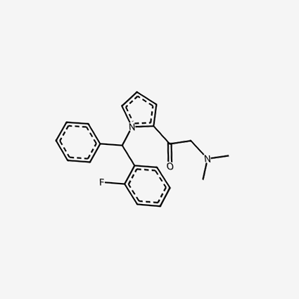 CN(C)CC(=O)c1cccn1C(c1ccccc1)c1ccccc1F